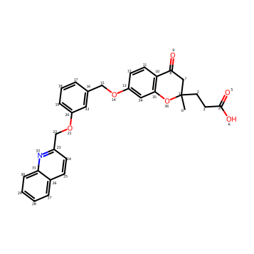 CC1(CCC(=O)O)CC(=O)c2ccc(OCc3cccc(OCc4ccc5ccccc5n4)c3)cc2O1